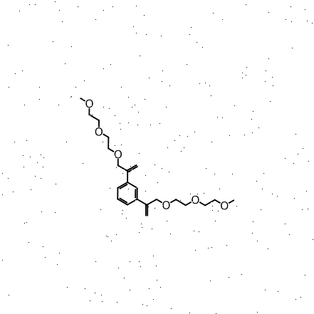 C=C(COCCOCCOC)c1cccc(C(=C)COCCOCCOC)c1